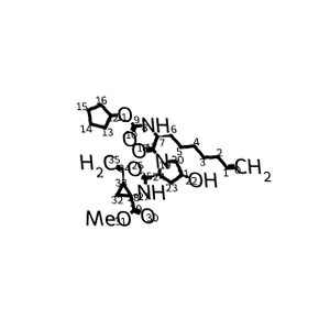 C=CCCCCC[C@H](NC(=O)OC1CCCC1)C(=O)N1C[C@@H](O)C[C@H]1C(=O)N[C@]1(C(=O)OC)C[C@H]1C=C